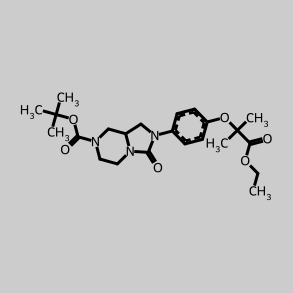 CCOC(=O)C(C)(C)Oc1ccc(N2CC3CN(C(=O)OC(C)(C)C)CCN3C2=O)cc1